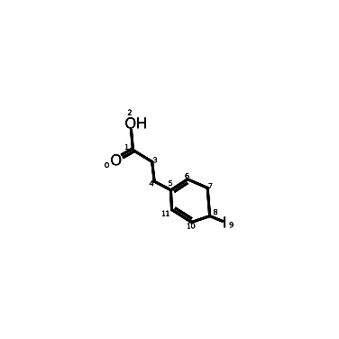 O=C(O)CCC1=CCC(I)C=C1